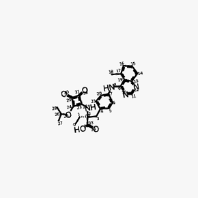 CC[C@@](Cc1ccc(Nc2ncnc3cccc(C)c23)cc1)(Nc1c(OC(C)C)c(=O)c1=O)C(=O)O